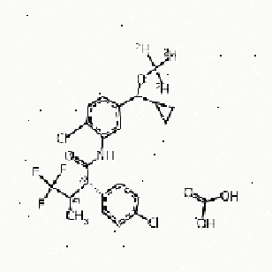 O=C(O)O.[2H]C([2H])([2H])OC(c1ccc(Cl)c(NC(=O)[C@H](c2ccc(Cl)cc2)[C@@H](C)C(F)(F)F)c1)C1CC1